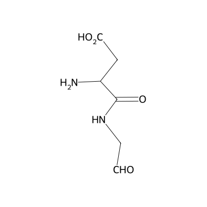 NC(CC(=O)O)C(=O)NCC=O